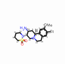 CCc1cc2c(cc1OC)[C@@H]1C[C@H](N)[C@@H](N3CCCCS3(=O)=O)CN1CC2